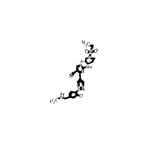 CCS(=O)(=O)N1CC[C@H](Nc2ncc(C#N)c(-c3cnn(-c4ccc(CNC)cc4Cl)c3)n2)[C@H](F)C1